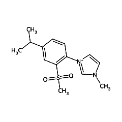 CC(C)c1ccc(-[n+]2ccn(C)c2)c(S(C)(=O)=O)c1